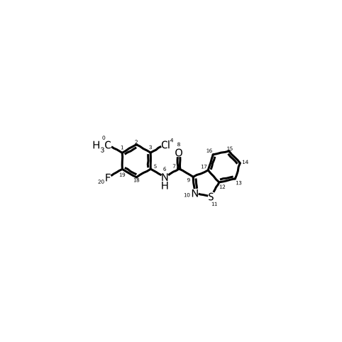 Cc1cc(Cl)c(NC(=O)c2nsc3ccccc23)cc1F